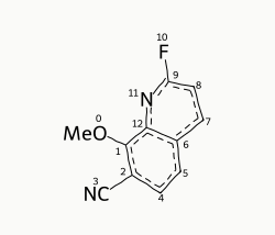 COc1c(C#N)ccc2ccc(F)nc12